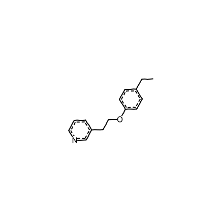 CCc1ccc(OCCc2cccnc2)cc1